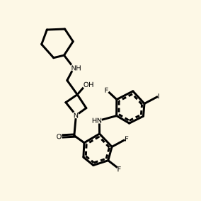 O=C(c1ccc(F)c(F)c1Nc1ccc(I)cc1F)N1CC(O)(CNC2CCCCC2)C1